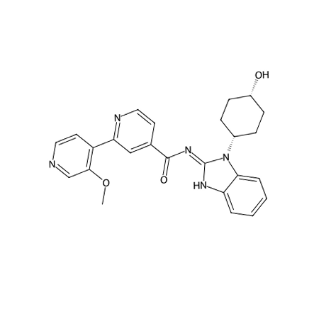 COc1cnccc1-c1cc(C(=O)/N=c2\[nH]c3ccccc3n2[C@H]2CC[C@@H](O)CC2)ccn1